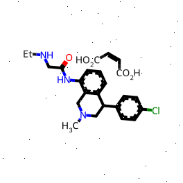 CCNCC(=O)Nc1cccc2c1CN(C)CC2c1ccc(Cl)cc1.O=C(O)/C=C\C(=O)O